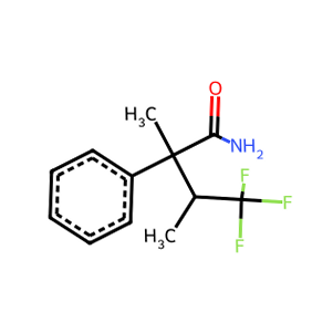 CC(C(F)(F)F)C(C)(C(N)=O)c1ccccc1